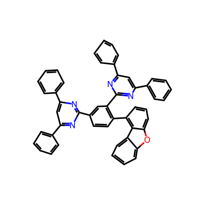 c1ccc(-c2cc(-c3ccccc3)nc(-c3ccc(-c4cccc5oc6ccccc6c45)c(-c4nc(-c5ccccc5)cc(-c5ccccc5)n4)c3)n2)cc1